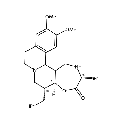 COc1cc2c(cc1OC)C1C3CN[C@@H](C(C)C)C(=O)O[C@H]3[C@H](CC(C)C)CN1CC2